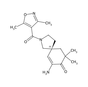 Cc1noc(C)c1C(=O)N1CC[C@@]2(C=C(N)C(=O)C(C)(C)C2)C1